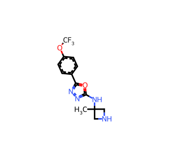 CC1(Nc2nnc(-c3ccc(OC(F)(F)F)cc3)o2)CNC1